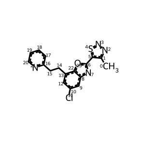 Cc1nnsc1-c1nc2cc(Cl)cc(CCc3ccccn3)c2o1